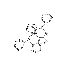 C[C@H](C1C=CC=C1c1ccccc1P(c1ccccc1)c1ccccc1)P(c1ccccc1)c1ccccc1